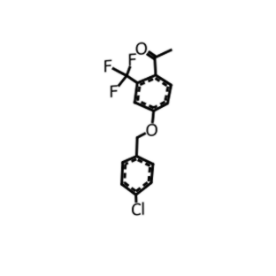 CC(=O)c1ccc(OCc2ccc(Cl)cc2)cc1C(F)(F)F